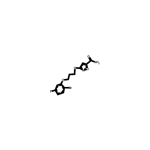 NC(=O)c1cc(OCCCOc2cc(F)ccc2Br)no1